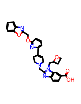 O=C(O)c1ccc2nc(CN3CC=C(c4cccc(OCc5nc6ccccc6o5)n4)CC3)n(CC3CCO3)c2c1